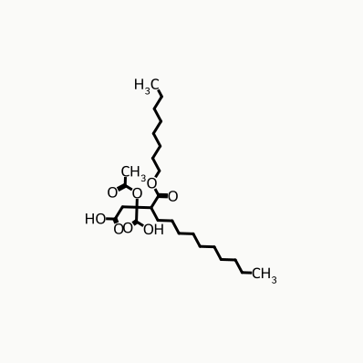 CCCCCCCCCCC(C(=O)OCCCCCCCC)C(CC(=O)O)(OC(C)=O)C(=O)O